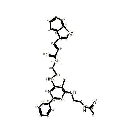 CC(=O)NCCNc1nc(-c2ccccc2)nc(NCCNC(=O)C=Cc2c[nH]c3ccccc23)c1C